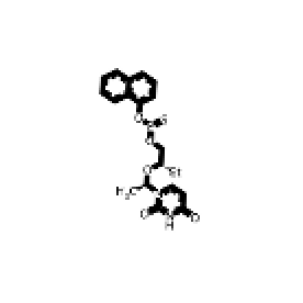 CC[C@@H](CO[PH](=S)Oc1cccc2ccccc12)O[C@H](C)n1ccc(=O)[nH]c1=O